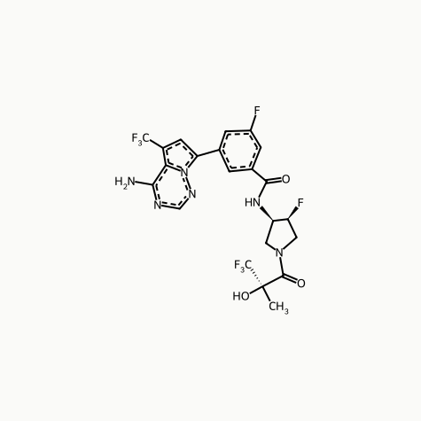 C[C@@](O)(C(=O)N1C[C@H](F)[C@H](NC(=O)c2cc(F)cc(-c3cc(C(F)(F)F)c4c(N)ncnn34)c2)C1)C(F)(F)F